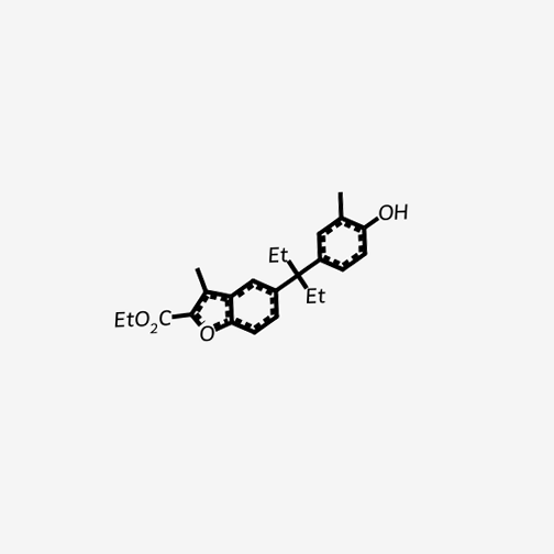 CCOC(=O)c1oc2ccc(C(CC)(CC)c3ccc(O)c(C)c3)cc2c1C